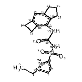 CCn1ccc(S(=O)(=O)NC(=O)Nc2c3c(cc4c2CC4)CCC3)n1